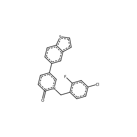 O=c1ccc(-c2ccc3sccc3c2)cn1Cc1ccc(Cl)cc1F